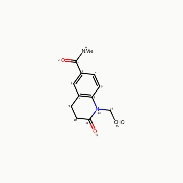 CNC(=O)c1ccc2c(c1)CCC(=O)N2CC=O